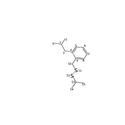 CC(C)Cc1ccccc1CSSC(C)C